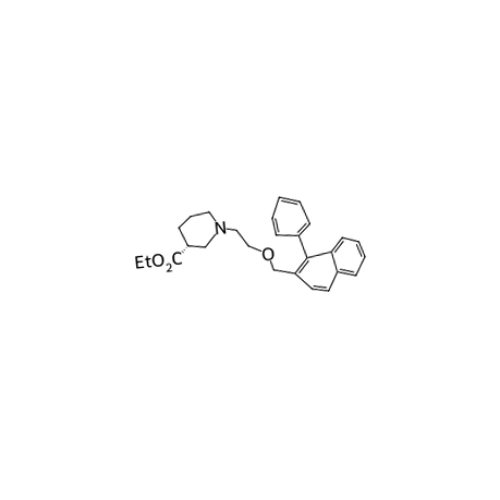 CCOC(=O)[C@@H]1CCCN(CCOCc2ccc3ccccc3c2-c2ccccc2)C1